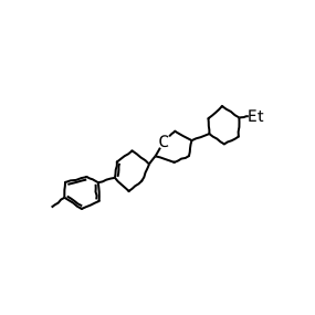 CCC1CCC(C2CCC(C3CC=C(c4ccc(C)cc4)CC3)CC2)CC1